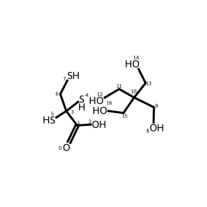 O=C(O)C(S)(S)CS.OCC(CO)(CO)CO